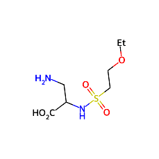 CCOCCS(=O)(=O)NC(CN)C(=O)O